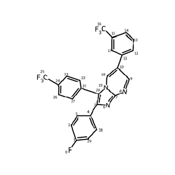 Fc1ccc(-c2nc3ncc(-c4cccc(C(F)(F)F)c4)cn3c2-c2ccc(C(F)(F)F)cc2)cc1